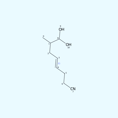 CC(C/C=C/CCC#N)C(O)O